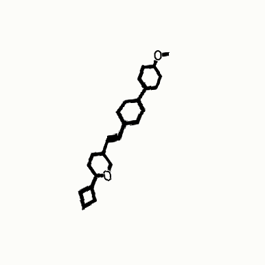 COC1CCC(C2CCC(/C=C/C3CCC(C4CCC4)OC3)CC2)CC1